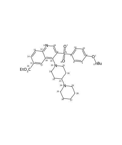 CCCCOc1ccc(S(=O)(=O)c2cnc3ccc(C(=O)OCC)cc3c2N2CCC(N3CCCCC3)CC2)cc1